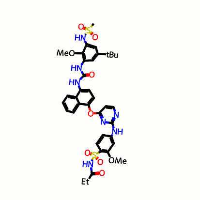 CCC(=O)NS(=O)(=O)c1ccc(Nc2nccc(Oc3ccc(NC(=O)Nc4cc(C(C)(C)C)cc(NS(C)(=O)=O)c4OC)c4ccccc34)n2)cc1OC